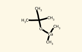 [CH3][Ga]([CH3])[O]C(C)(C)C